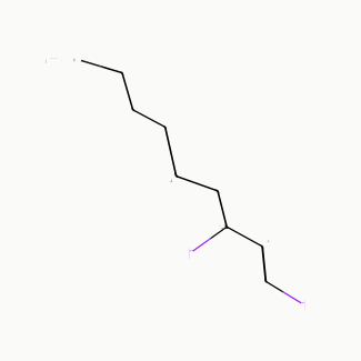 CCCCCCCCCCCC(I)CCI